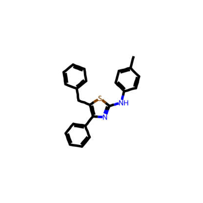 Cc1ccc(Nc2nc(-c3ccccc3)c(Cc3ccccc3)s2)cc1